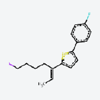 CC=C(CCCCI)c1ccc(-c2ccc(F)cc2)s1